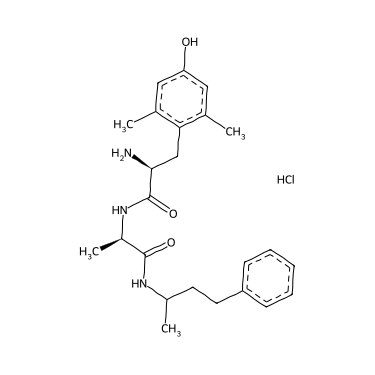 Cc1cc(O)cc(C)c1C[C@H](N)C(=O)N[C@H](C)C(=O)NC(C)CCc1ccccc1.Cl